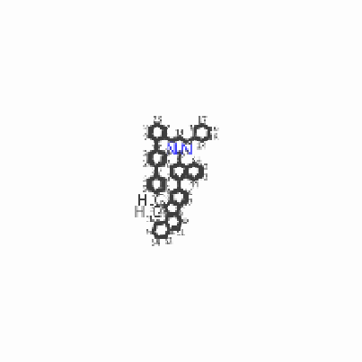 CC1(C)c2cc(-c3ccc(-c4nc(-c5ccccc5)cc(-c5ccccc5-c5ccc(-c6ccccc6)cc5)n4)c4ccccc34)ccc2-c2ccc3ccccc3c21